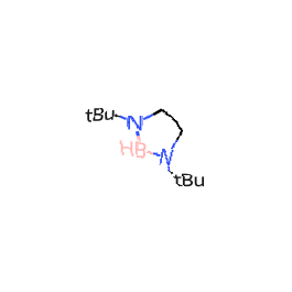 CC(C)(C)N1BN(C(C)(C)C)CC1